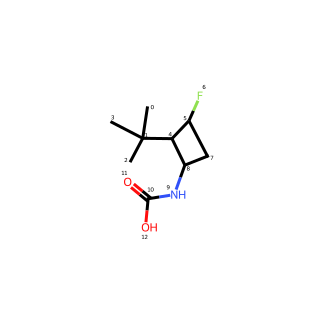 CC(C)(C)C1C(F)CC1NC(=O)O